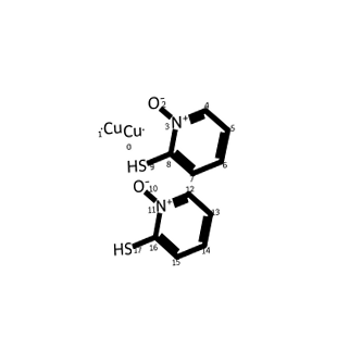 [Cu].[Cu].[O-][n+]1ccccc1S.[O-][n+]1ccccc1S